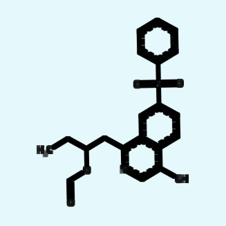 CCC(Cc1ncc(O)c2ccc(S(=O)(=O)c3ccccc3)cc12)OC=O